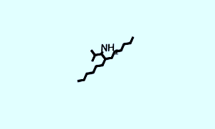 CCCCCCC(CCCCCC)C(N)C(C)C